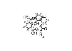 CC(=O)Cc1cccc2ccccc12.Cc1c(C(=O)O)cccc1C(=O)O